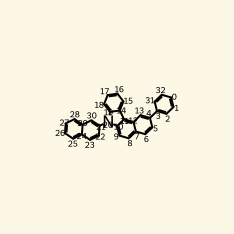 c1ccc(-c2ccc3ccc4c(c3c2)c2ccccc2n4-c2ccc3ccccc3c2)cc1